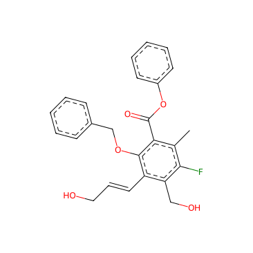 Cc1c(F)c(CO)c(C=CCO)c(OCc2ccccc2)c1C(=O)Oc1ccccc1